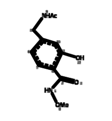 CONC(=O)c1ccc(CNC(C)=O)cc1O